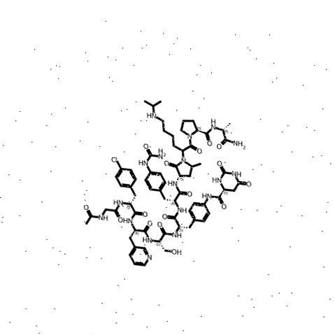 CC(=O)NCC(=O)N[C@H](Cc1ccc(Cl)cc1)C(=O)N[C@H](Cc1cccnc1)C(=O)N[C@@H](CO)C(=O)N[C@@H](Cc1ccc(NC(=O)[C@@H]2CC(=O)NC(=O)N2)cc1)C(=O)N[C@H](Cc1ccc(NC(N)=O)cc1)C(=O)N[C@H]1CC(C)N(C(CCCCNC(C)C)C(=O)N2CCC[C@H]2C(=O)N[C@H](C)C(N)=O)C1=O